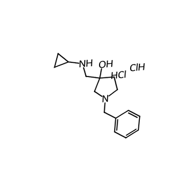 Cl.Cl.OC1(CNC2CC2)CCN(Cc2ccccc2)C1